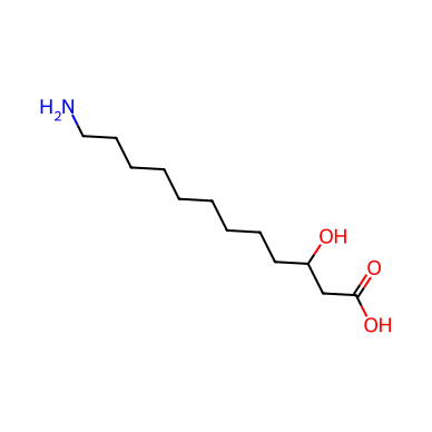 NCCCCCCCCCC(O)CC(=O)O